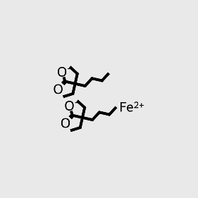 CCCCC(CC)(CC)C(=O)[O-].CCCCC(CC)(CC)C(=O)[O-].[Fe+2]